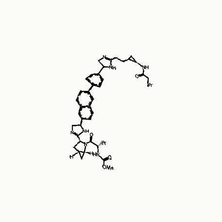 COC(=O)N[C@H](C(=O)N1[C@@H]2C[C@@H]2C[C@H]1C1=NCC(c2ccc3cc(-c4ccc(C5CN=C(CC[C@H]6C[C@H]6NC(=O)CC(C)C)N5)cc4)ccc3c2)N1)C(C)C